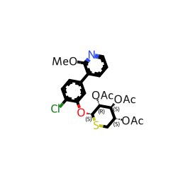 COc1ncccc1-c1ccc(Cl)c(O[C@H]2SC[C@@H](OC(C)=O)[C@H](OC(C)=O)[C@H]2OC(C)=O)c1